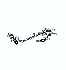 CC(C)N(C[C@H]1O[C@@H](n2cnc3c(NCCCCNC(=O)C=COCCOCCOCCNc4cccc5c4C(=O)N(C4CCC(=O)NC4=O)C5=O)ncnc32)[C@H](O)[C@@H]1O)C1CC(CCc2nc3cc(C(C)(C)C)ccc3[nH]2)C1